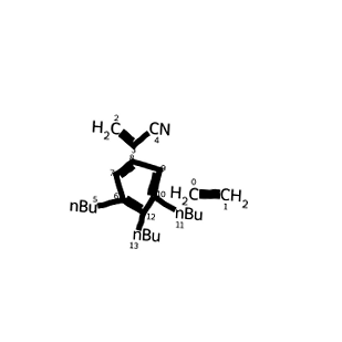 C=C.C=CC#N.CCCCc1cccc(CCCC)c1CCCC